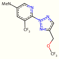 CNc1cnc(-n2ncc(COC(F)(F)F)n2)c(C(F)(F)F)c1